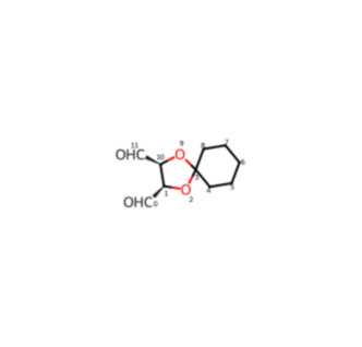 O=C[C@@H]1OC2(CCCCC2)O[C@@H]1C=O